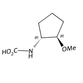 CO[C@@H]1CCC[C@H]1NC(=O)O